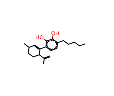 C=C(C)C1CCC(C)C=C1c1ccc(CCCCC)c(O)c1O